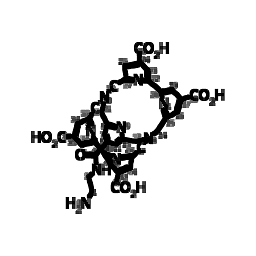 NCCNC(=O)c1cc2nc(c1)CN1Cc3cc(C(=O)O)cc(n3)-c3cc(C(=O)O)cc(n3)CN(C2)Cc2cc(C(=O)O)cc(n2)-c2cc(C(=O)O)cc(n2)C1